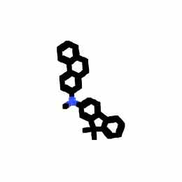 CN(c1ccc2c(c1)C(C)(C)c1ccccc1-2)c1ccc2c(ccc3ccccc32)c1